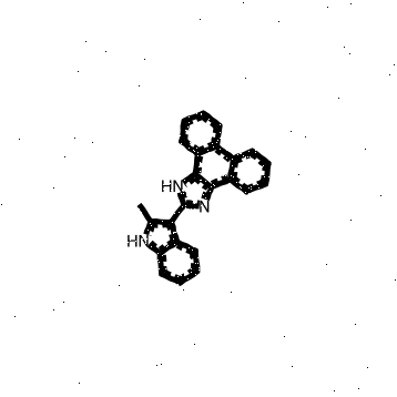 Cc1[nH]c2ccccc2c1-c1nc2c3ccccc3c3ccccc3c2[nH]1